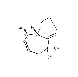 CCC[C@@H]1C=CCC(C#N)(C#N)C2=CCCC[C@H]21